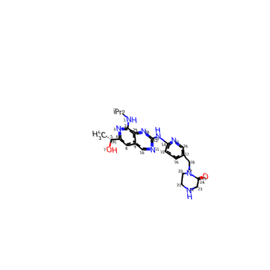 CC(C)Nc1nc([C@@H](C)O)cc2cnc(Nc3ccc(CN4CCNCC4=O)cn3)nc12